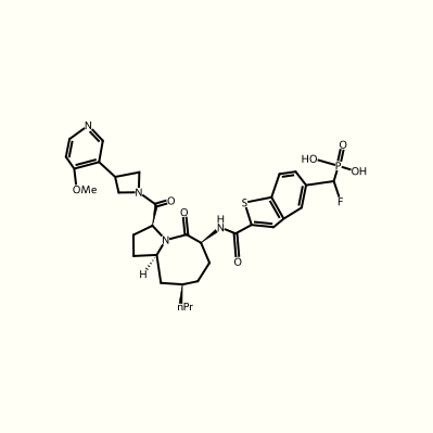 CCC[C@@H]1CC[C@H](NC(=O)c2cc3cc(C(F)P(=O)(O)O)ccc3s2)C(=O)N2[C@H](CC[C@H]2C(=O)N2CC(c3cnccc3OC)C2)C1